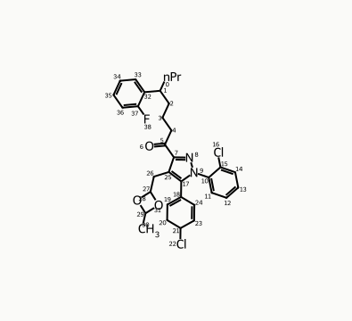 CCCC(CCCC(=O)c1nn(-c2ccccc2Cl)c(C2=CCC(Cl)C=C2)c1CC1OC(C)O1)c1ccccc1F